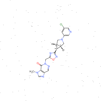 Cn1cnc2cnn(Cc3nc([C@H]4[C@@H]5CN(c6cncc(Cl)c6)C[C@@H]54)no3)c(=O)c21